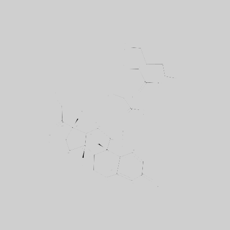 CCC(=O)O.CCC(=O)O.CCCCCC.C[C@H]1C[C@H]2[C@@H]3CCC4=CC(=O)C=C[C@]4(C)[C@@]3(Cl)[C@@H](O)C[C@]2(C)[C@@]1(O)C(=O)CO